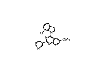 COc1ccc2nc(-c3cccnc3)nc(N3CCc4cccc(Cl)c43)c2c1